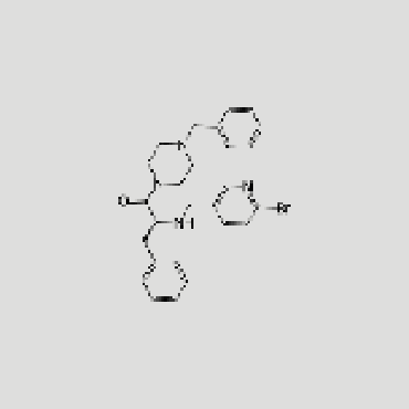 O=C([C@H](Cc1ccccc1)NCc1ccc(Br)nc1)N1CCN(Cc2ccccc2)CC1